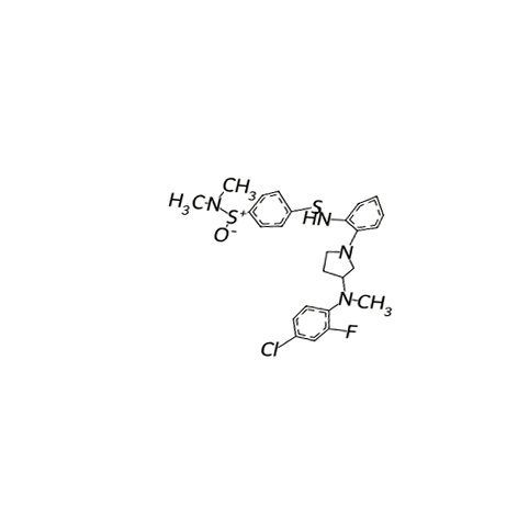 CN(c1ccc(Cl)cc1F)C1CCN(c2ccccc2NSc2ccc([S+]([O-])N(C)C)cc2)C1